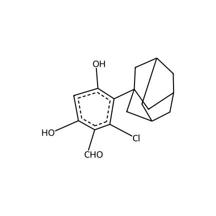 O=Cc1c(O)cc(O)c(C23CC4CC(CC(C4)C2)C3)c1Cl